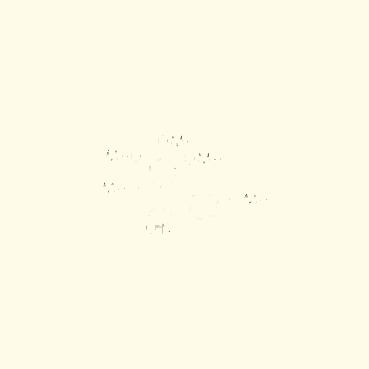 COc1ccc(-c2nocc2-c2cc(OC)c(OC)c(OC)c2OC)cc1